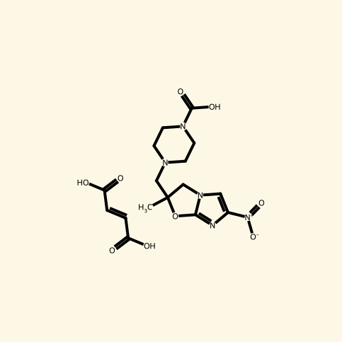 CC1(CN2CCN(C(=O)O)CC2)Cn2cc([N+](=O)[O-])nc2O1.O=C(O)C=CC(=O)O